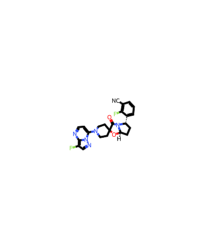 N#Cc1cccc([C@@H]2CC[C@H]3OC4(CCN(c5ccnc6c(F)cnn56)CC4)C(=O)N32)c1F